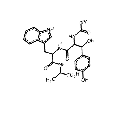 CCCC(=O)NC(C(=O)NC(Cc1c[nH]c2ccccc12)C(=O)NC(C)C(=O)O)C(O)c1ccc(O)cc1